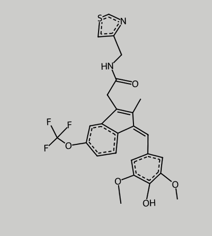 COc1cc(/C=C2/C(C)=C(CC(=O)NCc3cscn3)c3cc(OC(F)(F)F)ccc32)cc(OC)c1O